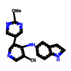 COc1ncc(-c2cncc(C#N)c2Nc2ccc3[nH]ccc3c2)cn1